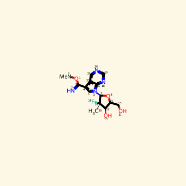 CNOC(=N)c1cn([C@H]2OC(CO)[C@@H](O)[C@@]2(C)F)c2ncncc12